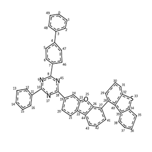 c1ccc(-c2ccc(-c3nc(-c4ccccc4)nc(-c4ccc5c(c4)oc4c(-c6cccc7sc8ccccc8c67)cccc45)n3)cc2)cc1